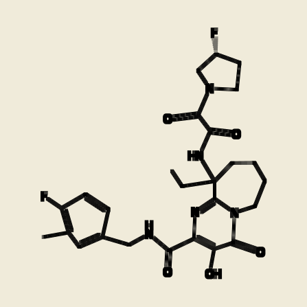 CCC1(NC(=O)C(=O)N2CC[C@@H](F)C2)CCCCn2c1nc(C(=O)NCc1ccc(F)c(C)c1)c(O)c2=O